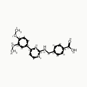 COc1ccc(-c2ccnc(NCc3ccc(C(=O)O)cc3)n2)cc1OC